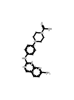 Nc1ccc2cnc(Nc3ccc(N4CCN(C(=O)O)CC4)cc3)nc2n1